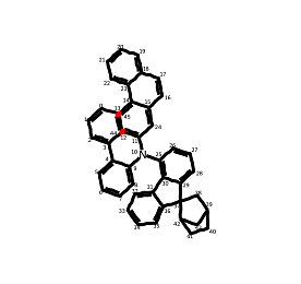 c1ccc(-c2ccccc2N(c2ccc3c(ccc4ccccc43)c2)c2cccc3c2-c2ccccc2C32CC3CCC2C3)cc1